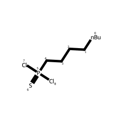 CCCCCCCCP(=S)(Cl)Cl